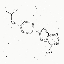 CC(C)Oc1ccc(-c2cc3c(O)ncnn3c2)cc1